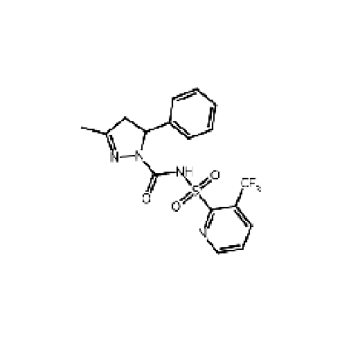 CC1=NN(C(=O)NS(=O)(=O)c2ncccc2C(F)(F)F)C(c2ccccc2)C1